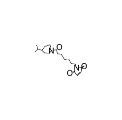 CC(C)C1CCN(C(=O)CCCCCCN2C(=O)C=CC2=O)CC1